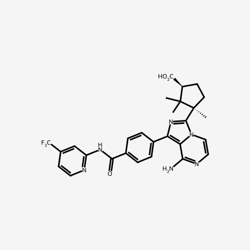 CC1(C)[C@@H](C(=O)O)CC[C@@]1(C)c1nc(-c2ccc(C(=O)Nc3cc(C(F)(F)F)ccn3)cc2)c2c(N)nccn12